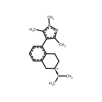 Cc1nn(C)c(C)c1-c1cccc2c1CC[C@@H](N(C)C)C2